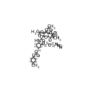 COC(=O)[C@H]1O[C@@H](OC(=O)Nc2ccc(COC(=O)Oc3ccc(C)cc3)cc2OCCOCCN=[N+]=[N-])[C@H](OC(C)=O)[C@@H](OC(C)=O)[C@@H]1OC(C)=O